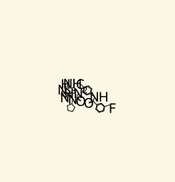 Cc1ccc(NC(=O)c2cccc(CF)c2)cc1NC(=O)N(c1cc(N)ncn1)C1CCCC1